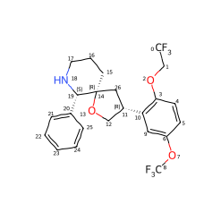 FC(F)(F)COc1ccc(OC(F)(F)F)cc1[C@@H]1CO[C@]2(CCCN[C@H]2c2ccccc2)C1